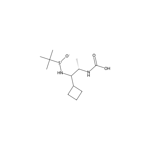 C[C@H](NC(=O)O)C(N[S+]([O-])C(C)(C)C)C1CCC1